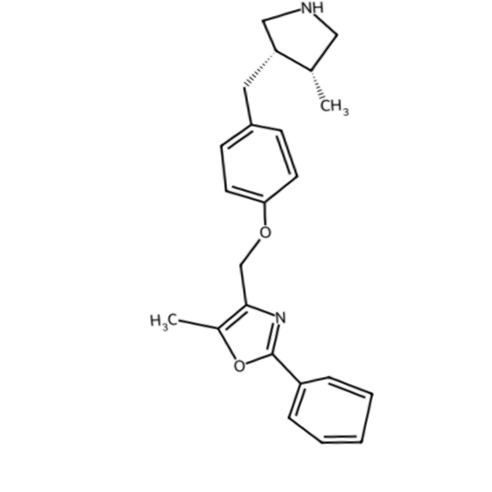 Cc1oc(-c2ccccc2)nc1COc1ccc(C[C@@H]2CNC[C@@H]2C)cc1